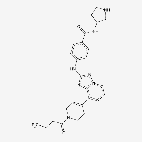 O=C(NC1CCNC1)c1ccc(Nc2nc3c(C4=CCN(C(=O)CCC(F)(F)F)CC4)cccn3n2)cc1